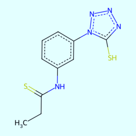 CCC(=S)Nc1cccc(-n2nnnc2S)c1